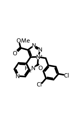 COC(=O)C1=C(c2ccncc2)[N+](Cc2cc(Cl)cc(Cl)c2)(C(N)=O)N=N1